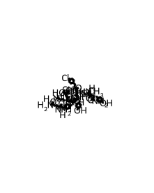 CN[C@@H](CSSC[C@@H](NC(=O)CCc1ccc(Cl)cc1)C(=O)N[C@@H](Cc1ccc(O)cc1)C(=O)N[C@H](Cc1ccc(NC(=O)[C@@H](N)CCC(N)=O)cc1)C(=O)N[C@@H](CCCCN)C(=O)NC(C=O)C(C)O)C(=O)N[C@H](Cc1ccc(O)cc1)C(N)=O